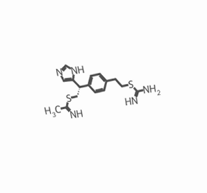 CC(=N)SC[C@@H](c1ccc(CCSC(=N)N)cc1)c1cnc[nH]1